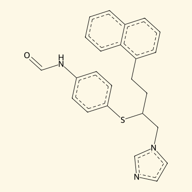 O=CNc1ccc(SC(CCc2cccc3ccccc23)Cn2ccnc2)cc1